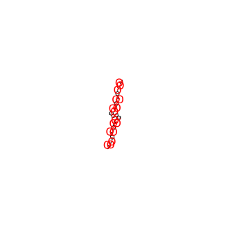 C=CC(=O)OCCOC1CCC(C(=O)OC2CCC(OC(=O)Oc3cccc4c3C3(CC4)CCc4cccc(OC(=O)OC5CCC(OC(=O)C6CCC(OCOC(=O)C=C)CC6)CC5)c43)CC2)CC1